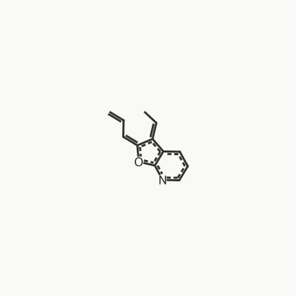 C=C/C=c1/oc2ncccc2/c1=C/C